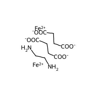 NCCN.O=C([O-])CCC(=O)[O-].O=C([O-])CCC(=O)[O-].[Fe+2].[Fe+2]